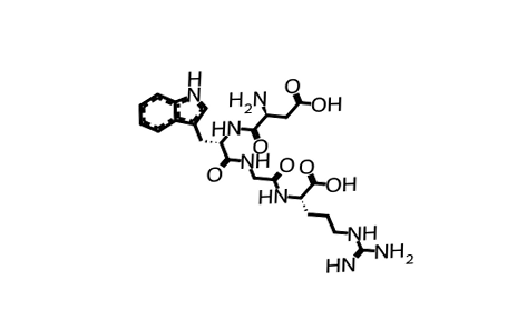 N=C(N)NCCC[C@H](NC(=O)CNC(=O)[C@H](Cc1c[nH]c2ccccc12)NC(=O)[C@@H](N)CC(=O)O)C(=O)O